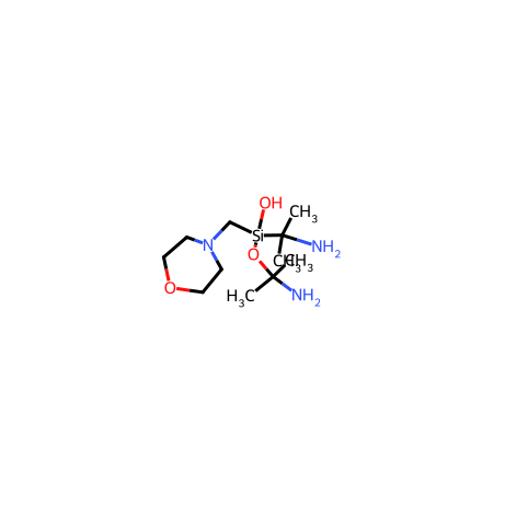 CC(C)(N)O[Si](O)(CN1CCOCC1)C(C)(C)N